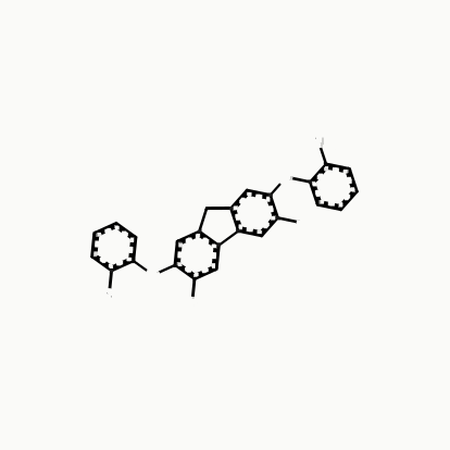 Nc1ccccc1Oc1cc2c(cc1S(=O)(=O)O)-c1cc(S(=O)(=O)O)c(Oc3ccccc3N)cc1C2